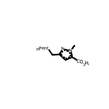 CCCCCCc1cc(C(=O)O)n(C)n1